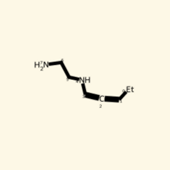 CCC=C=CNCCN